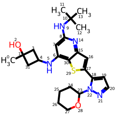 CC1(O)CC(Nc2cc(NC(C)(C)C)nc3cc(-c4ccnn4C4CCCCO4)sc23)C1